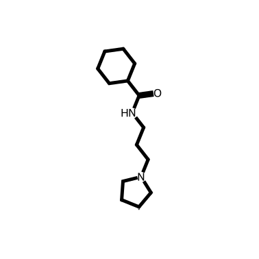 O=C(NCCCN1C[CH]CC1)C1CCCCC1